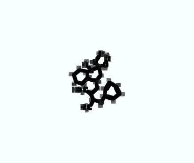 CCO[Si](CN(CC(C(=O)O)C(C)Oc1ccccc1)C1CCCCC1)(OCC)OCC